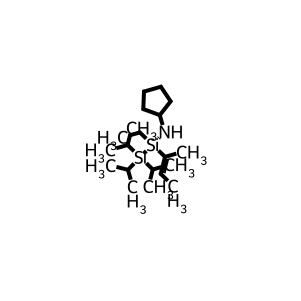 C/C=C(\C)[Si](CC)(NC1CCCC1)[Si](C(C)C)(C(C)C)C(C)C